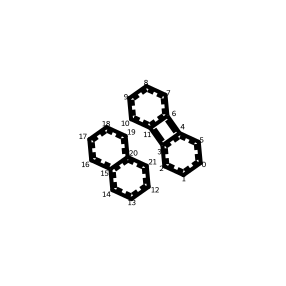 c1ccc2c(c1)=c1ccccc1=2.c1ccc2ccccc2c1